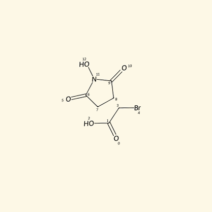 O=C(O)CBr.O=C1CCC(=O)N1O